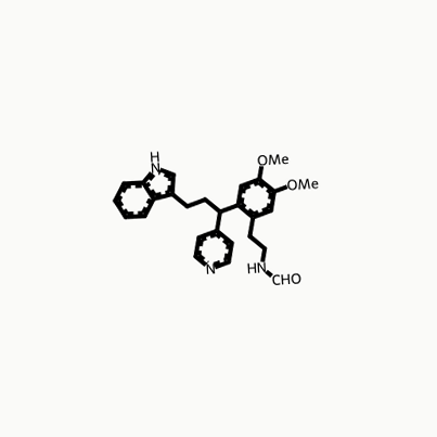 COc1cc(CCNC=O)c(C(CCc2c[nH]c3ccccc23)c2ccncc2)cc1OC